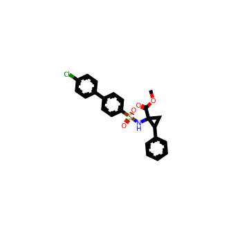 COC(=O)C1(NS(=O)(=O)c2ccc(-c3ccc(Cl)cc3)cc2)CC1c1ccccc1